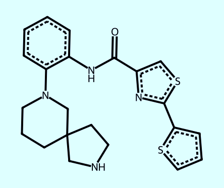 O=C(Nc1ccccc1N1CCCC2(CCNC2)C1)c1csc(-c2cccs2)n1